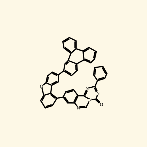 O=c1nc(-c2ccccc2)nc2c3ccc(-c4cccc5oc6ccc(-c7ccc8c9ccccc9c9ccccc9c8c7)cc6c45)cc3ncn12